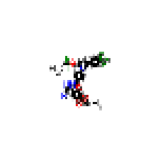 CCC(F)(F)OC[C@@H]1CC[C@H](c2ccc(C(F)(F)F)cc2)CN1c1ccc(C(=O)N[C@H](CC#N)c2ccc(S(=O)(=O)CC)cc2)cc1